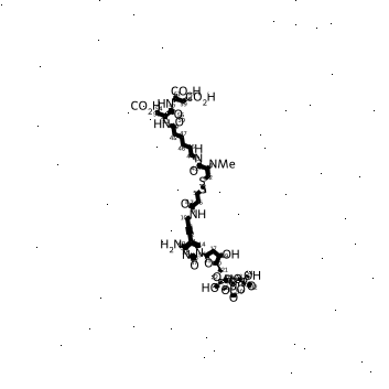 CNC(CSSCCC(=O)NCC#Cc1cn([C@H]2CC(O)[C@@H](COP(=O)(O)OP(=O)(O)OP(=O)(O)O)O2)c(=O)nc1N)C(=O)NCCCCCC(=O)NC(CC(=O)O)C(=O)NC(CC(=O)O)C(=O)O